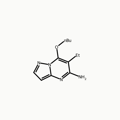 CCCCOc1c(CC)c(N)nc2ccnn12